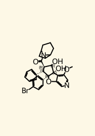 COc1cncc2c1[C@]1(O)[C@H](O)[C@H](C(=O)N3C4CCCC3CC4)[C@@H](c3ccccc3)[C@]1(c1ccc(Br)cc1)O2